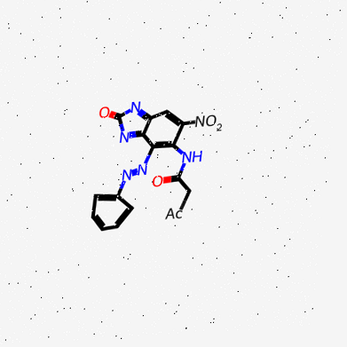 CC(=O)CC(=O)Nc1c([N+](=O)[O-])cc2c(c1N=Nc1ccccc1)=NC(=O)N=2